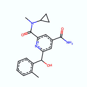 Cc1ccccc1C(O)c1cc(C(N)=O)cc(C(=O)N(C)C2CC2)n1